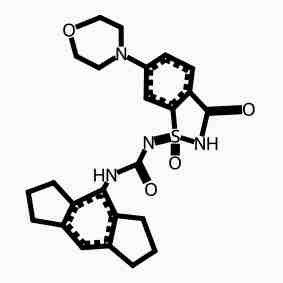 O=C(N=S1(=O)NC(=O)c2ccc(N3CCOCC3)cc21)Nc1c2c(cc3c1CCC3)CCC2